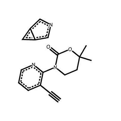 C#Cc1cccnc1N1CCC(C)(C)OC1=O.c1ncc2cc1-2